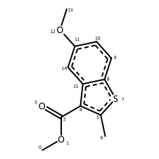 COC(=O)c1c(C)sc2ccc(OC)cc12